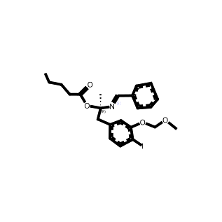 CCCCC(=O)O[C@](C)(Cc1ccc(I)c(OCOC)c1)/N=C/c1ccccc1